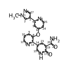 Cn1cc(-c2cc(Oc3cccnc3-c3c[nH]c(=O)c(C(N)=O)c3)ccn2)cn1